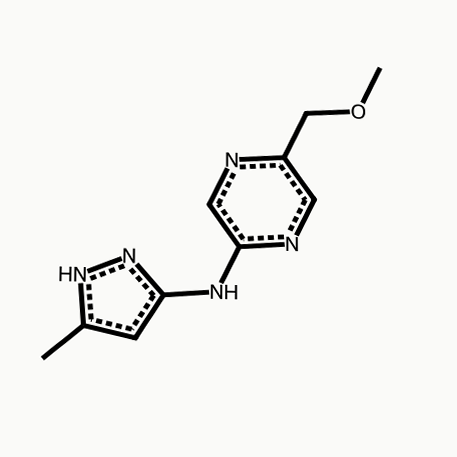 COCc1cnc(Nc2cc(C)[nH]n2)cn1